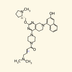 CN(C)C/C=C/C(=O)N1CCN(c2nc(OC[C@@H]3CCCN3C)nc3c2CCN(c2cc(O)cc4ccccc24)C3)CC1